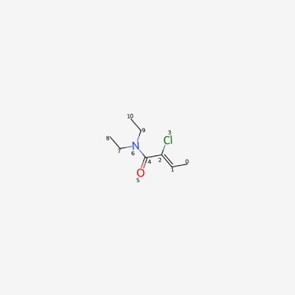 CC=C(Cl)C(=O)N(CC)CC